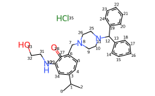 CC(C)c1ccc(CN2CCN(C(c3ccccc3)c3ccccc3)CC2)c(=O)c(NCCO)c1.Cl